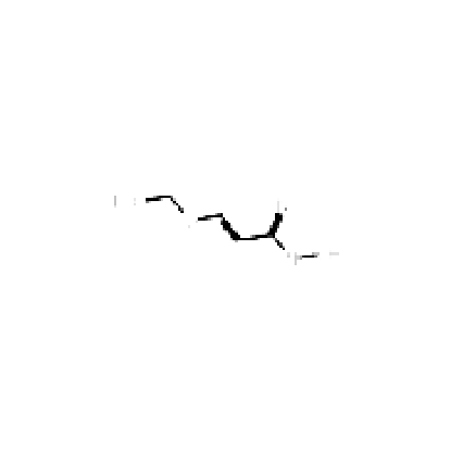 CCO/C=C/C(=N)NC